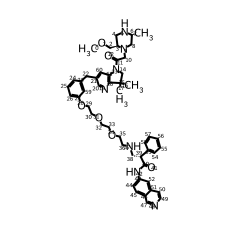 COC[C@H]1CN[C@H](C)CN1CC(=O)N1CC(C)(C)c2ncc(Cc3cccc(OCCOCCOCCNC[C@@H](C(=O)Nc4ccc5cnccc5c4)c4ccccc4)c3)cc21